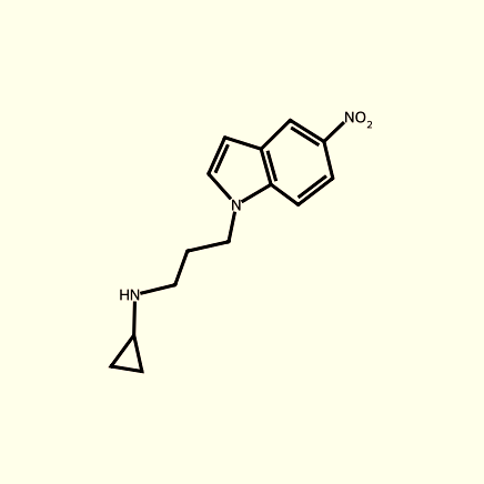 O=[N+]([O-])c1ccc2c(ccn2CCCNC2CC2)c1